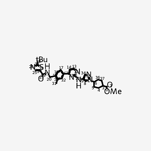 COC(=O)C1CCC(n2cc(Nc3nccc(-c4ccc(CNC(=O)c5cnc(C(C)(C)C)s5)c(C)c4)n3)cn2)CC1